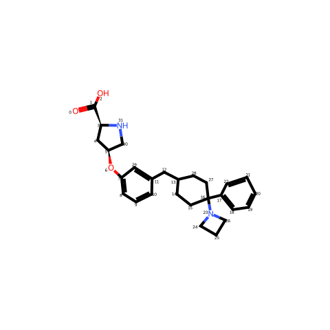 O=C(O)[C@@H]1C[C@H](Oc2cccc(CC3CCC(c4ccccc4)(N4CCC4)CC3)c2)CN1